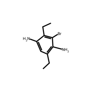 CCc1cc(N)c(CC)c(Br)c1N